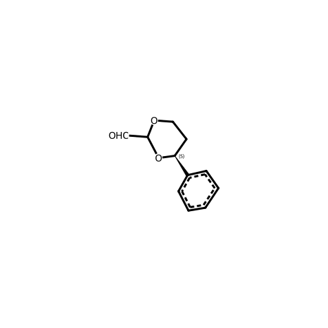 O=CC1OCC[C@@H](c2ccccc2)O1